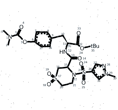 CN(C)C(=O)Oc1ccc(C[C@H](NC(=O)C2CS(=O)(=O)CCN2S(=O)(=O)c2cnn(C)c2)C(=O)OC(C)(C)C)cc1